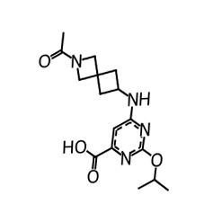 CC(=O)N1CC2(CC(Nc3cc(C(=O)O)nc(OC(C)C)n3)C2)C1